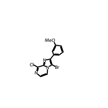 COc1cccc(-c2nc3c(Cl)nccn3c2Br)c1